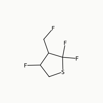 FCC1C(F)CSC1(F)F